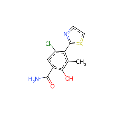 Cc1c(O)c(C(N)=O)cc(Cl)c1-c1nccs1